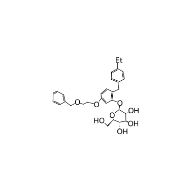 CCc1ccc(Cc2ccc(OCCOCc3ccccc3)cc2O[C@@H]2O[C@H](CO)[C@@H](O)[C@H](O)[C@H]2O)cc1